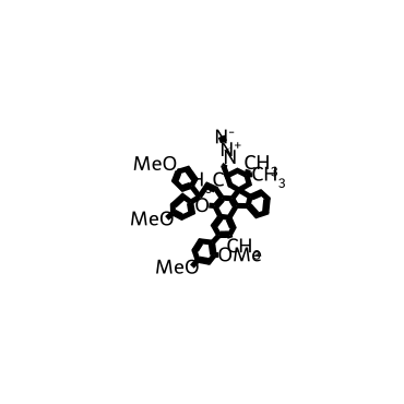 COc1ccc(C2(c3ccc(OC)cc3)C=Cc3c4c(c5cc(C)c(-c6ccc(OC)cc6OC)cc5c3O2)-c2ccccc2C42CC(C)(C)CC(C)(CN=[N+]=[N-])C2)cc1